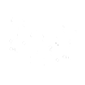 COC(=O)c1ccccc1-c1cc(Cc2nccc3ccccc23)cc(-c2ccccc2C(=O)OC)c1